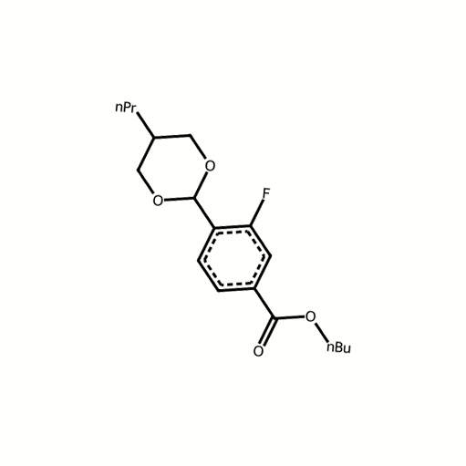 CCCCOC(=O)c1ccc(C2OCC(CCC)CO2)c(F)c1